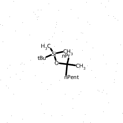 CCCCCC(C)(CCC)O[Si](C)(C)C(C)(C)C